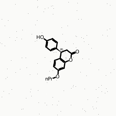 CCCOc1ccc2c(c1)OC(=O)C[C@@H]2c1ccc(O)cc1